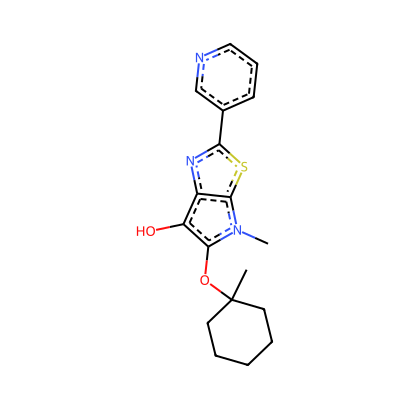 Cn1c(OC2(C)CCCCC2)c(O)c2nc(-c3cccnc3)sc21